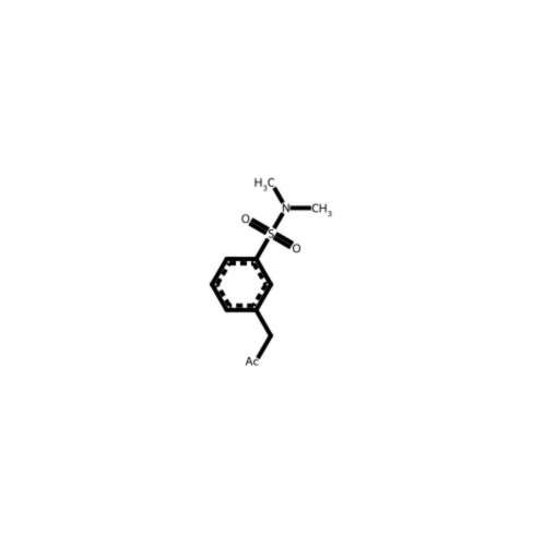 CC(=O)Cc1cccc(S(=O)(=O)N(C)C)c1